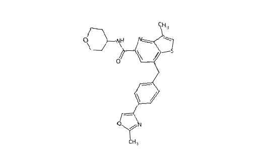 Cc1nc(-c2ccc(Cc3cc(C(=O)NC4CCOCC4)nc4c(C)csc34)cc2)co1